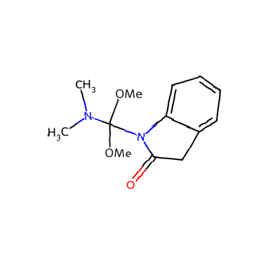 COC(OC)(N(C)C)N1C(=O)Cc2ccccc21